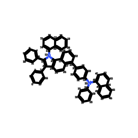 c1ccc(-c2c(-c3ccccc3)n(-c3cccc4ccccc34)c3c2ccc2c(-c4ccc(N(c5ccccc5)c5cccc6ccccc56)cc4)cccc23)cc1